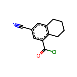 N#Cc1cc2c(c(C(=O)Cl)c1)CCCC2